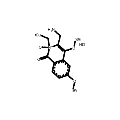 CCCCOC1=C(CN)[N+]([O-])(CC(C)(C)C)C(=O)c2ccc(OCCC)cc21.Cl